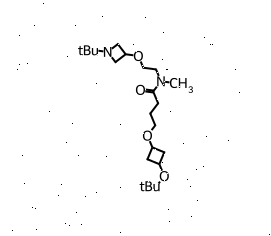 CN(CCOC1CN(C(C)(C)C)C1)C(=O)CCCOC1CC(OC(C)(C)C)C1